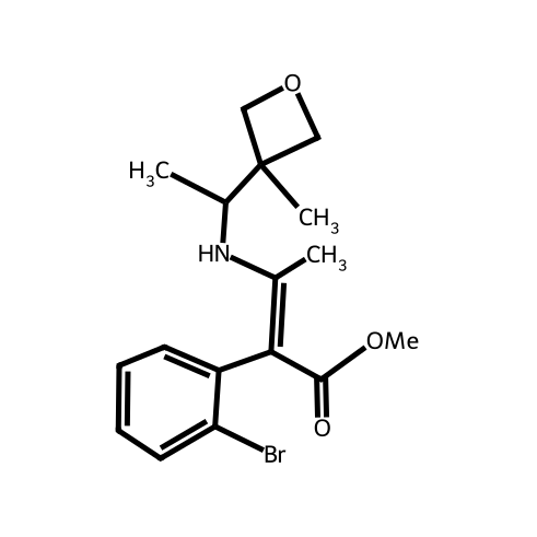 COC(=O)C(=C(C)NC(C)C1(C)COC1)c1ccccc1Br